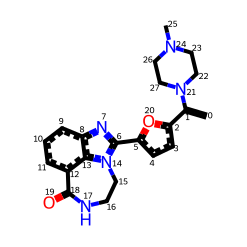 C=C(c1ccc(-c2nc3cccc4c3n2CCNC4=O)o1)N1CCN(C)CC1